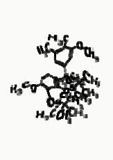 C=C(c1cc(C)c(C)c(OC)c1)c1ccc(OC)c(O[Si](C)(C)C(C)(C)C)c1O[Si](C)(C)C(C)(C)C